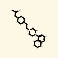 CC(=O)CN1CCC(CCN2CCN(c3cccc4c3CCCC4)CC2)CC1